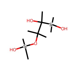 CC(C)(O[Si](C)(C)O)C(C)(O)[Si](C)(C)O